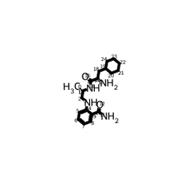 C[C@@H](CNc1ccccc1C(N)=O)NC(=O)[C@@H](N)CC1CCCCC1